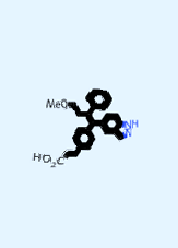 COCCC(=C(c1ccc(C=CC(=O)O)cc1)c1ccc2[nH]ncc2c1)c1ccccc1